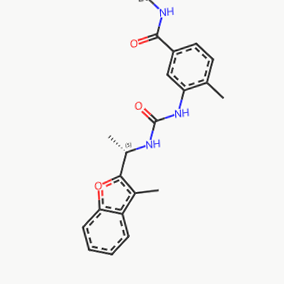 CCNC(=O)c1ccc(C)c(NC(=O)N[C@@H](C)c2oc3ccccc3c2C)c1